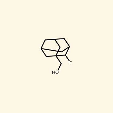 OCC12CC3CC(CC(C3)C1F)C2